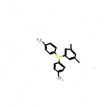 Cc1cc(C)cc([SH](c2ccc(C(F)(F)F)cc2)c2ccc(C(F)(F)F)cc2)c1